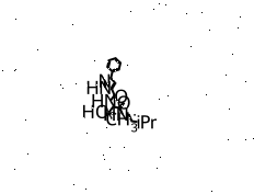 CC(C)C[CH]NC(=O)[C@@H](NC(=O)c1cc(-c2ccccc2)n[nH]1)[C@@H](C)O